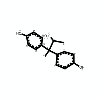 CC(C(=O)O)C(C)(c1ccc(O)cc1)c1ccc(O)cc1